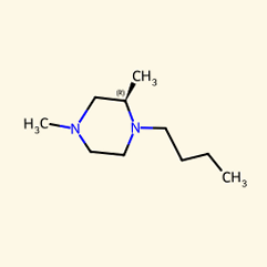 CCCCN1CCN(C)C[C@H]1C